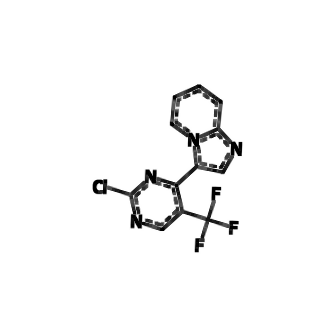 FC(F)(F)c1cnc(Cl)nc1-c1cnc2ccccn12